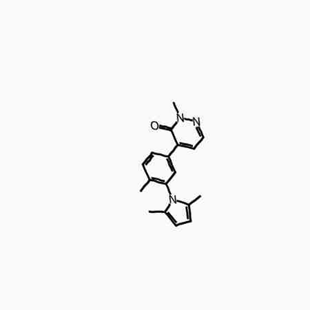 Cc1ccc(-c2ccnn(C)c2=O)cc1-n1c(C)ccc1C